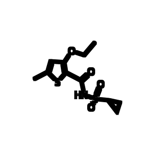 CCOc1cc(C)sc1C(=O)NS(=O)(=O)C1CC1